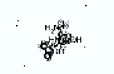 NC(CCC(=O)NC(CS[C@H]1c2ccccc2-c2ccccc2[C@@H]1O)C(=O)NCC(=O)O)C(=O)O